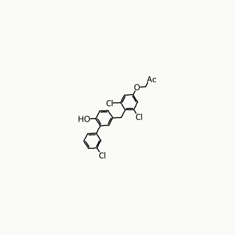 CC(=O)COc1cc(Cl)c(Cc2ccc(O)c(-c3cccc(Cl)c3)c2)c(Cl)c1